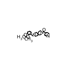 CC1(C)Oc2cccc(CN3CCC4(CC3)CCN(C(=O)c3ccncc3)CC4)c2O1